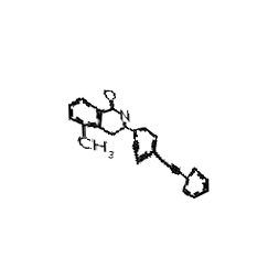 Cc1cccc2c1CC(c1ccc(C#Cc3ccccc3)cc1)=NC2=O